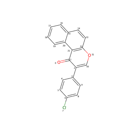 O=c1c(-c2ccc(Cl)cc2)coc2ccc3ccccc3c12